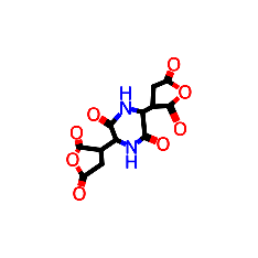 O=C1CC(C2NC(=O)C(C3CC(=O)OC3=O)NC2=O)C(=O)O1